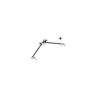 C1CO1.CCCCCCCCCCCCCCCCCC(=O)OCC(CO)OC(=O)CCCCCCCCCCCCCCCCC